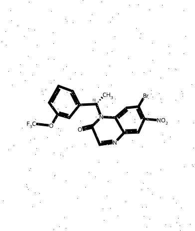 C[C@@H](c1cccc(OC(F)(F)F)c1)n1c(=O)cnc2cc([N+](=O)[O-])c(Br)cc21